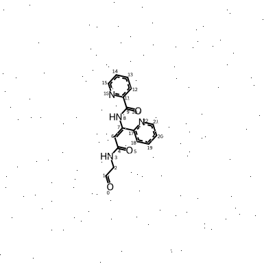 O=[C]CNC(=O)C=C(NC(=O)c1ccccn1)c1ccccn1